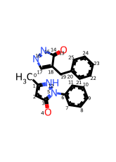 Cc1cc(=O)n(-c2ccccc2)[nH]1.O=C1N=NC=C1Cc1ccccc1